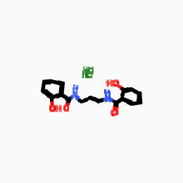 Cl.Cl.O=C(NCCCNC(=O)c1ccccc1O)c1ccccc1O